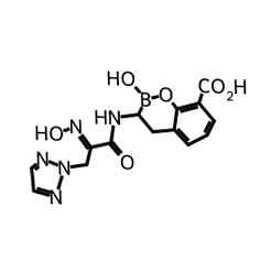 O=C(NC1Cc2cccc(C(=O)O)c2OB1O)C(Cn1nccn1)=NO